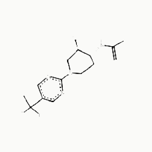 O=C(O)N[C@@H]1CCN(c2ncc(C(F)(F)F)cn2)C[C@H]1O